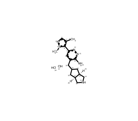 Cc1cnn(C)c1-c1cc(CC2C[C@H]3CNC[C@H]3C2)c(N)nn1.Cl.Cl